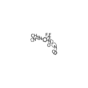 C[C@H]1CCCN1[C@H]1CCN(c2ccc(N3CCC4(CCN(Cc5ccco5)CC4)C3=O)c(C(F)(F)F)c2)C1